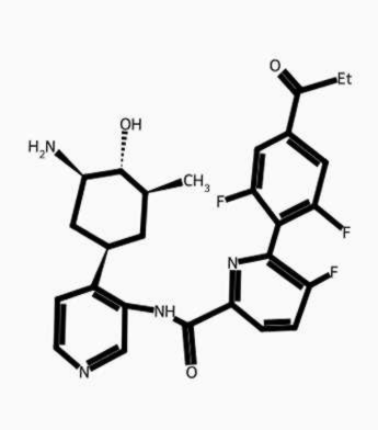 CCC(=O)c1cc(F)c(-c2nc(C(=O)Nc3cnccc3[C@H]3C[C@@H](N)[C@H](O)[C@@H](C)C3)ccc2F)c(F)c1